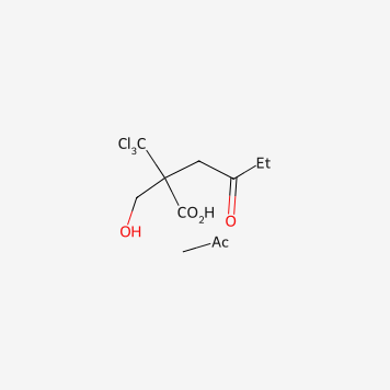 CC(C)=O.CCC(=O)CC(CO)(C(=O)O)C(Cl)(Cl)Cl